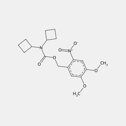 COc1cc(COC(=O)N(C2CCC2)C2CCC2)c([N+](=O)[O-])cc1OC